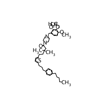 CCCCCc1ccc(CCCc2ccc(CCC(C)(C)CC(=O)N3CCN(Cc4ccc(OC)c(OC)c4OC)CC3)s2)cc1